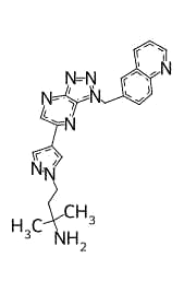 CC(C)(N)CCn1cc(-c2cnc3nnn(Cc4ccc5ncccc5c4)c3n2)cn1